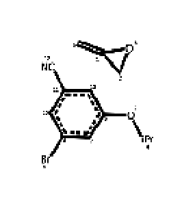 C=C1CO1.CC(C)Oc1cc(Br)cc(C#N)c1